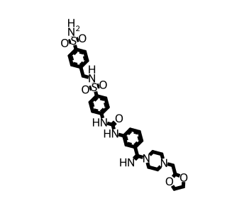 N=C(c1cccc(NC(=O)Nc2ccc(S(=O)(=O)NCc3ccc(S(N)(=O)=O)cc3)cc2)c1)N1CCN(CC2OCCO2)CC1